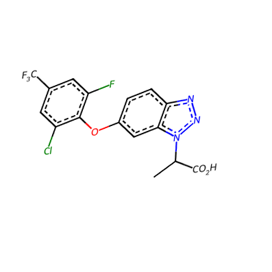 CC(C(=O)O)n1nnc2ccc(Oc3c(F)cc(C(F)(F)F)cc3Cl)cc21